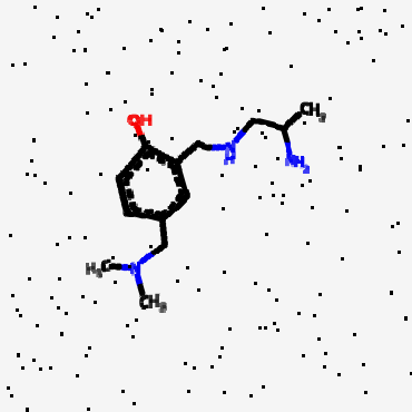 CC(N)CNCc1cc(CN(C)C)ccc1O